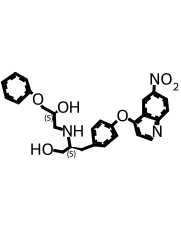 O=[N+]([O-])c1ccc2nccc(Oc3ccc(C[C@@H](CO)NC[C@H](O)COc4ccccc4)cc3)c2c1